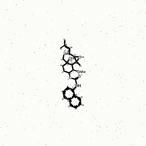 COC1C(OC(=O)Nc2cccc3ccccc23)CCC(O)(CSC)C1C1(C)OC1CC=C(C)C